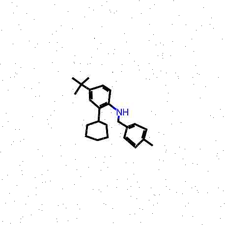 Cc1ccc(CNc2ccc(C(C)(C)C)cc2C2CCCCC2)cc1